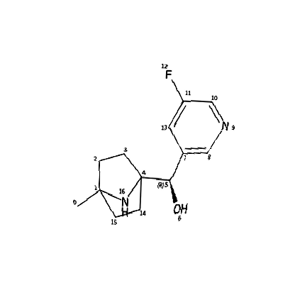 CC12CCC([C@H](O)c3cncc(F)c3)(CC1)N2